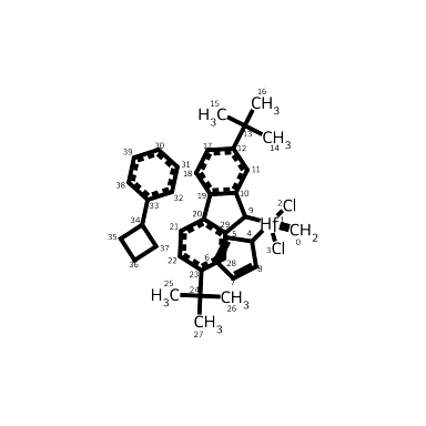 [CH2]=[Hf]([Cl])([Cl])([CH]1C=CC=C1)[CH]1c2cc(C(C)(C)C)ccc2-c2ccc(C(C)(C)C)cc21.c1ccc([C]2CCC2)cc1